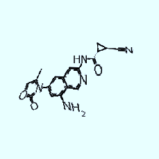 Cc1coc(=O)n1-c1cc(N)c2cnc(NC(=O)[C@@H]3C[C@H]3C#N)cc2c1